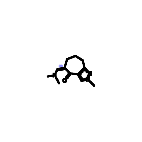 CN(C)/C=C1/CCCc2nn(C)cc2C1=O